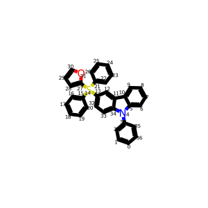 c1ccc(-n2c3ccccc3c3cc(S(c4ccccc4)(c4ccccc4)c4ccco4)ccc32)cc1